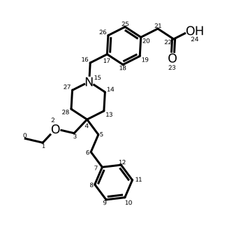 CCOCC1(CCc2ccccc2)CCN(Cc2ccc(CC(=O)O)cc2)CC1